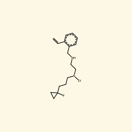 C=Cc1ccccc1CNCCN(CC)CCCC1(F)CC1